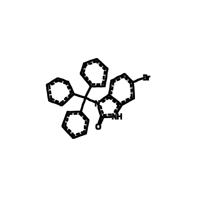 O=c1[nH]c2cc(Br)ccc2n1C(c1ccccc1)(c1ccccc1)c1ccccc1